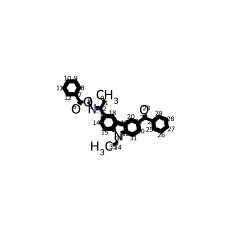 CC/C(=N\OC(=O)c1ccccc1)c1ccc2c(c1)c1cc(C(=O)c3ccccc3)ccc1n2CC